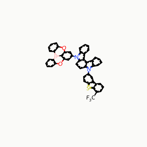 FC(F)(F)c1cccc2c1sc1ccc(-n3c4ccccc4c4c5c6ccccc6n(-c6cc7c8c(c6)Oc6ccccc6B8c6ccccc6O7)c5ccc43)cc12